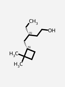 CC[C@H](CCO)C[C@@H]1CCC1(C)C